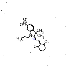 CCCN1/C(=C/C=C2C(=O)CCCC2=O)C(C)(C)c2ccc([N+](=O)[O-])cc21